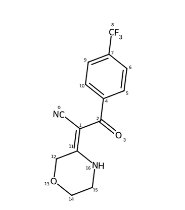 N#C/C(C(=O)c1ccc(C(F)(F)F)cc1)=C1\COCCN1